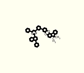 CC1(C)c2ccccc2-c2c1ccc1c2Oc2ccc(-c3cccc(-c4cc(-c5ccccc5)nc(-c5ccc(-c6ccccc6)c6ccccc56)n4)c3)cc2O1